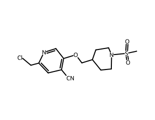 CS(=O)(=O)N1CCC(COc2cnc(CCl)cc2C#N)CC1